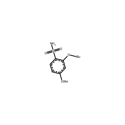 CCC(C)Oc1cc(OC)ccc1S(N)(=O)=O